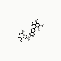 C=CC(=O)N1C[C@@H](Nc2ncc3cc(-c4c(Cl)c(OC)cc(OC)c4C(=C)C)ccc3n2)C[C@H]1C(=O)N(C)C